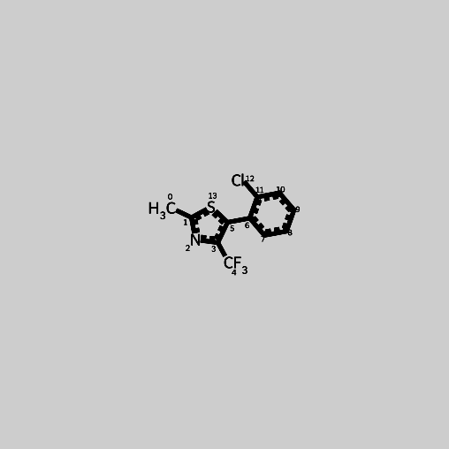 Cc1nc(C(F)(F)F)c(-c2ccccc2Cl)s1